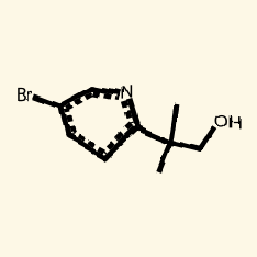 CC(C)(CO)c1ccc(Br)cn1